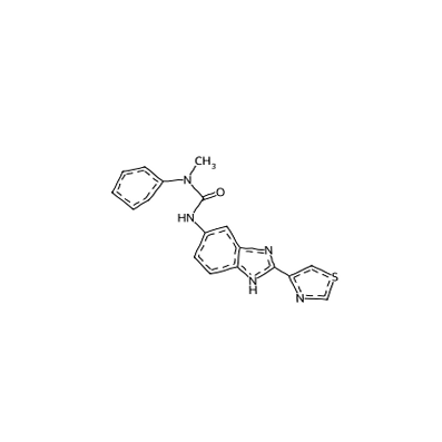 CN(C(=O)Nc1ccc2[nH]c(-c3cscn3)nc2c1)c1ccccc1